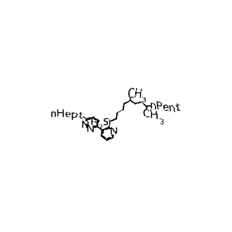 CCCCCCCc1ccc(-c2cccnc2[SiH2]CCCCC(C)CCC(C)CCCCC)nn1